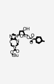 Cc1ccc(S(=O)(=O)OC[C@H]2O[C@@H](n3cnc4c3N=CN(C(=O)OC(C)(C)C)CC4)C[C@H]2O)cc1